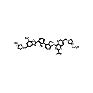 Cc1c(-c2nc3cc(CN4CC[C@@H](O)C4)cc(C#N)c3o2)cccc1-c1cccc2c1CCN2c1nc(C(F)F)nc2cc(CN3CC[C@@H](C(=O)O)C3)cnc12